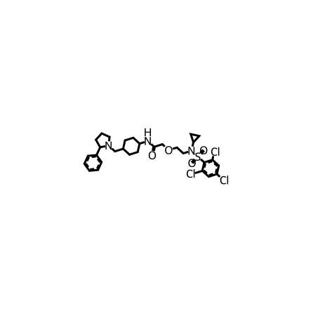 O=C(COCCN(C1CC1)S(=O)(=O)c1c(Cl)cc(Cl)cc1Cl)NC1CCC(CN2CCCC2c2ccccc2)CC1